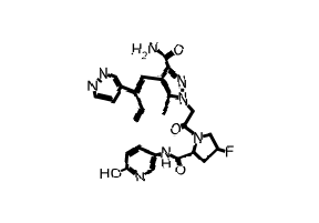 C=C/C(=C\c1c(C(N)=O)nn(CC(=O)N2CC(F)CC2C(=O)Nc2ccc(O)nc2)c1C)c1ccnnc1